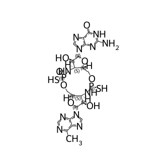 Cc1ncnc2c1ncn2[C@@H]1O[C@@H]2CO[P@](=O)(S)N[C@H]3[C@@H](O)[C@H](n4cnc5c(=O)[nH]c(N)nc54)O[C@@H]3CO[P@@](S)N[C@H]2[C@H]1O